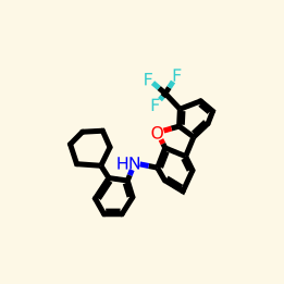 FC(F)(F)c1cccc2c1oc1c(Nc3ccccc3C3CCCCC3)cccc12